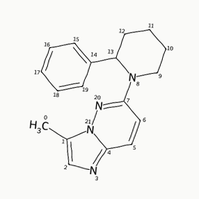 Cc1cnc2ccc(N3CCCCC3c3ccccc3)nn12